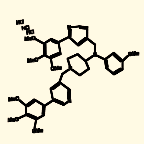 COc1cccc(N(Cc2ccnc(-c3cc(OC)c(OC)c(OC)c3)c2)C2CCN(Cc3cncc(-c4cc(OC)c(OC)c(OC)c4)c3)CC2)c1.Cl.Cl.Cl